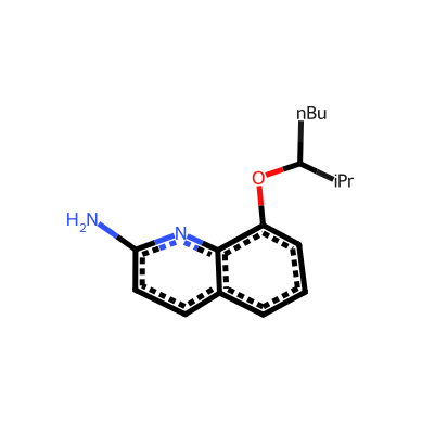 CCCCC(Oc1cccc2ccc(N)nc12)C(C)C